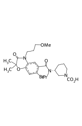 COCCCN1C(=O)C(C)(C)Oc2cc(Br)c(C(=O)N(C(C)C)[C@@H]3CCCN(C(=O)O)C3)cc21